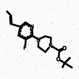 CC=Cc1cnc(N2CCN(C(=O)OC(C)(C)C)CC2)c(F)c1